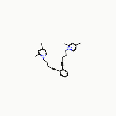 Cc1cc[n+](CCCC#Cc2ccccc2C#CCCC[n+]2ccc(C)cc2C)c(C)c1